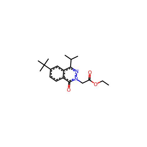 CCOC(=O)Cn1nc(C(C)C)c2cc(C(C)(C)C)ccc2c1=O